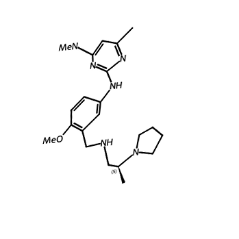 CNc1cc(C)nc(Nc2ccc(OC)c(CNC[C@H](C)N3CCCC3)c2)n1